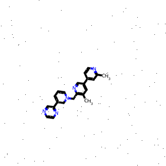 Cc1cc(-c2cnc(CN3C=CC=C(c4cnccn4)C3)c(C)c2)ccn1